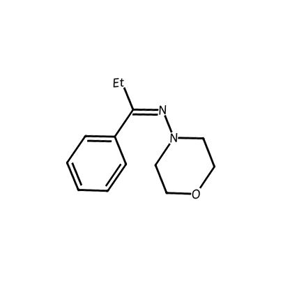 CC/C(=N/N1CCOCC1)c1ccccc1